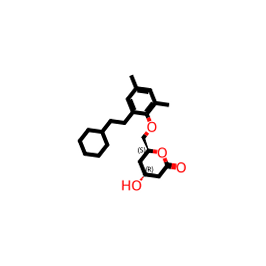 Cc1cc(C)c(OC[C@@H]2C[C@@H](O)CC(=O)O2)c(CCC2CCCCC2)c1